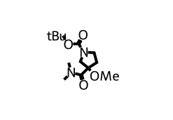 COC1(C(=O)N(C)C)CCN(C(=O)OC(C)(C)C)C1